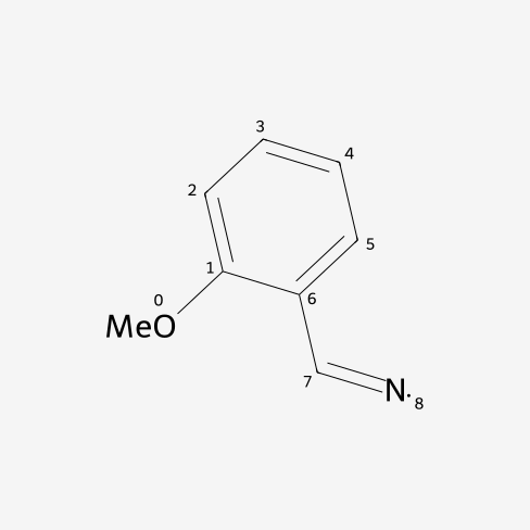 COc1ccccc1C=[N]